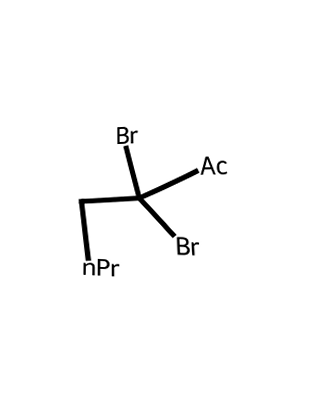 CCCCC(Br)(Br)C(C)=O